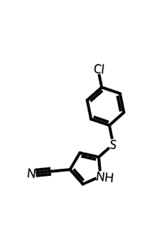 N#Cc1c[nH]c(Sc2ccc(Cl)cc2)c1